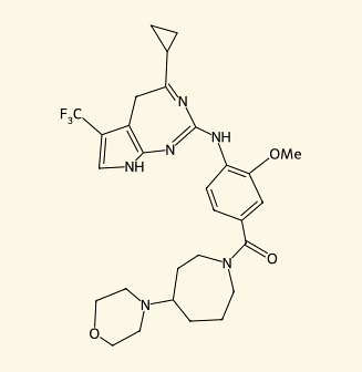 COc1cc(C(=O)N2CCCC(N3CCOCC3)CC2)ccc1NC1=Nc2[nH]cc(C(F)(F)F)c2CC(C2CC2)=N1